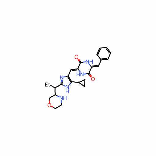 CCC(c1nc(/C=c2\[nH]c(=O)/c(=C/c3ccccc3)[nH]c2=O)c(C2CC2)[nH]1)C1COCCN1